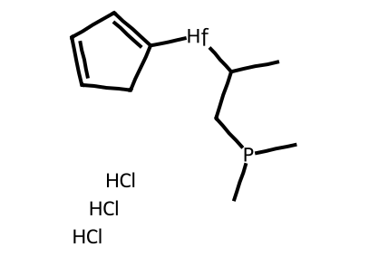 C[CH](CP(C)C)[Hf][C]1=CC=CC1.Cl.Cl.Cl